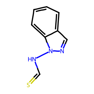 S=CNn1ncc2ccccc21